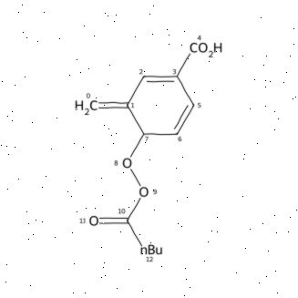 C=C1C=C(C(=O)O)C=CC1OOC(=O)CCCC